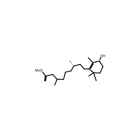 C=C(CC(C)CCC[C@H](C)CCC1=C(C)[C@@H](O)CCC1(C)C)OC